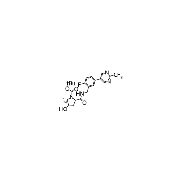 C[C@H]1C(O)CC(C(=O)NCc2cc(-c3cnc(C(F)(F)F)nc3)ccc2F)N1C(=O)OC(C)(C)C